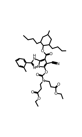 CCCCC1CC(C)CC(CCCC)C1OC(=O)c1c(C#N)c(OC(=O)N(CCC(=O)OCC)CCC(=O)OCC)n2nc(-c3ccccc3C)[nH]c12